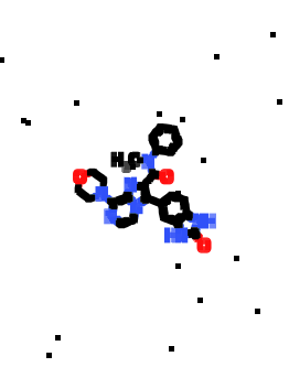 CN(C(=O)c1nc2c(N3CCOCC3)nccn2c1-c1ccc2[nH]c(=O)[nH]c2c1)c1ccccc1